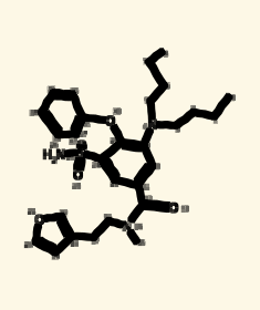 CCCCN(CCCC)c1cc(C(=O)N(C)CCc2ccoc2)cc(S(N)(=O)=O)c1Oc1ccccc1